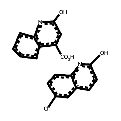 O=C(O)c1cc(O)nc2ccccc12.Oc1ccc2cc(Cl)ccc2n1